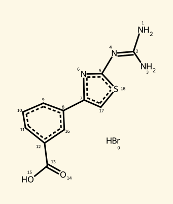 Br.NC(N)=Nc1nc(-c2cccc(C(=O)O)c2)cs1